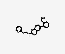 O=NCc1ccccc1-c1ccc2nc(NCCc3ccccn3)ncc2c1